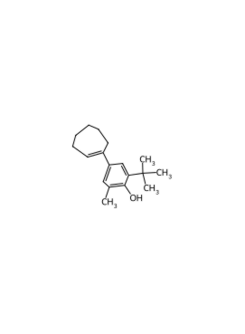 Cc1cc(C2=CCCCCC2)cc(C(C)(C)C)c1O